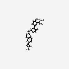 CN/C(=C1/C=C(c2nc(Nc3ccc4c(n3)CCN(C3CN(C(C)C)C3)C4)ncc2F)C=CC1=N)C(C)C